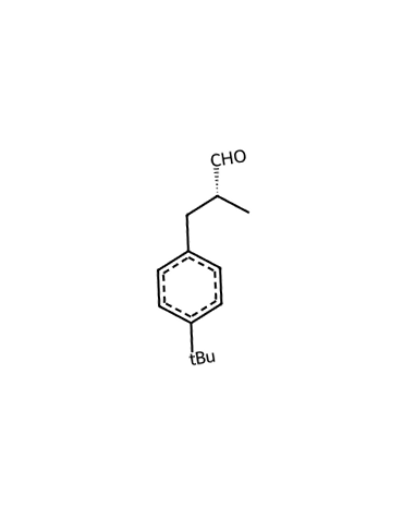 C[C@@H](C=O)Cc1ccc(C(C)(C)C)cc1